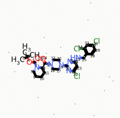 CC(C)(C)OC(=O)N1CCCC[C@@H]1C(=O)N1CCN(c2nc(Cl)cc(NCc3ccc(Cl)cc3Cl)n2)CC1